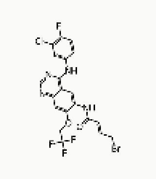 O=C(C=CCBr)Nc1cc2c(Nc3ccc(F)c(Cl)c3)ncnc2cc1OCC(F)(F)F